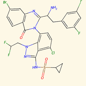 NC(Cc1cc(F)cc(F)c1)c1nc2cc(Br)ccc2c(=O)n1-c1ccc(Cl)c2c(NS(=O)(=O)C3CC3)nn(CC(F)F)c12